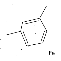 Cc1cccc(C)c1.[Fe]